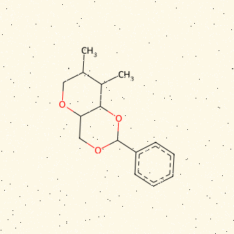 CC1COC2COC(c3ccccc3)OC2C1C